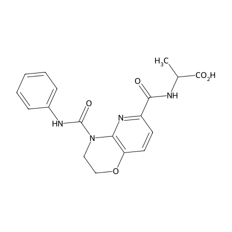 CC(NC(=O)c1ccc2c(n1)N(C(=O)Nc1ccccc1)CCO2)C(=O)O